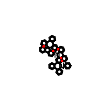 c1ccc(-c2ccccc2N(c2ccc3c(c2)-c2ccccc2-c2ccccc2N3c2ccccc2)c2ccc3c(c2)C2(c4ccccc4-c4ccccc4-c4ccccc42)c2ccccc2-3)cc1